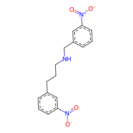 O=[N+]([O-])c1cccc(CCCNCc2cccc([N+](=O)[O-])c2)c1